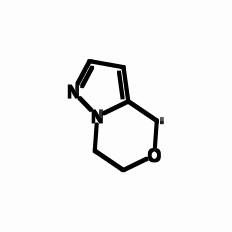 [C]1OCCn2nccc21